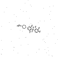 CCC[C@H]1CC[C@H](c2cc(F)c(C(F)(F)c3[c]cc(F)c(F)c3F)c(F)c2)CC1